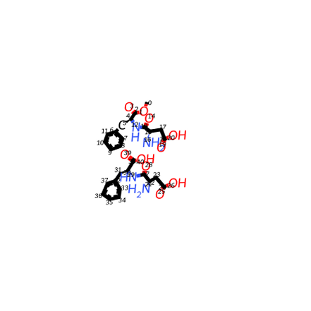 COC(=O)[C@H](Cc1ccccc1)NC(=O)[C@@H](N)CC(=O)O.N[C@@H](CC(=O)O)C(=O)N[C@@H](Cc1ccccc1)C(=O)O